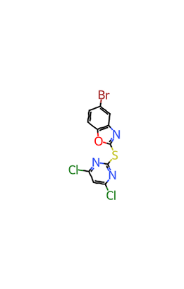 Clc1cc(Cl)nc(Sc2nc3cc(Br)ccc3o2)n1